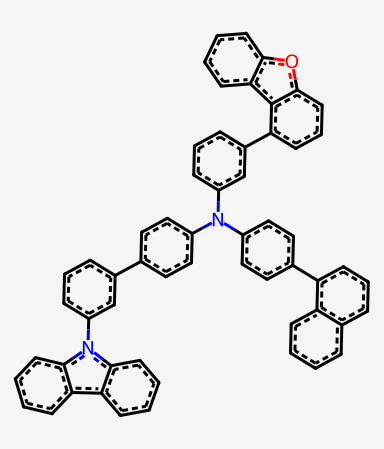 c1cc(-c2cccc3oc4ccccc4c23)cc(N(c2ccc(-c3cccc(-n4c5ccccc5c5ccccc54)c3)cc2)c2ccc(-c3cccc4ccccc34)cc2)c1